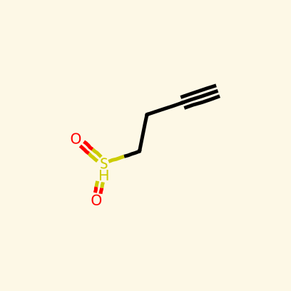 C#CCC[SH](=O)=O